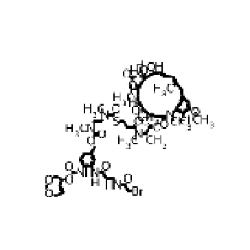 COc1cc2cc(c1Cl)N(C)C(=O)C[C@H](OC(=O)[C@H](C)N(C)C(=O)CCSC(=O)N(C)CCN(C)C(=O)OCc1ccc(NC(=O)OC3/C=C/COCOC3)c(NC(=O)CCNC(=O)CBr)c1)[C@]1(C)O[C@H]1[C@H](C)[C@@H]1C[C@@](O)(NC(=O)O1)[C@H](O)/C=C/C=C(\C)C2